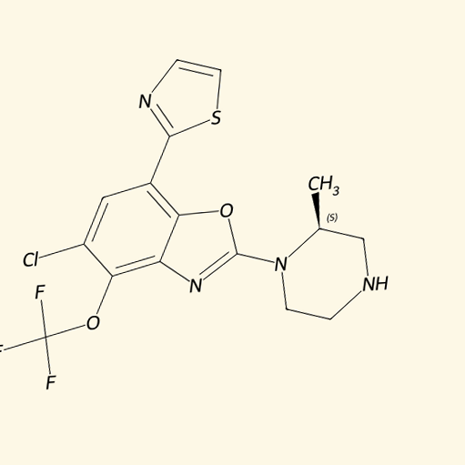 C[C@H]1CNCCN1c1nc2c(OC(F)(F)F)c(Cl)cc(-c3nccs3)c2o1